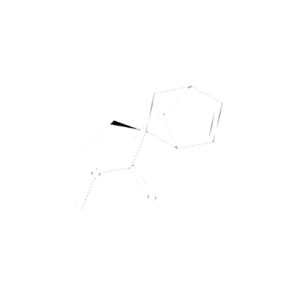 CC[C@@]1(C(=O)OC)CC2C=CC1C2